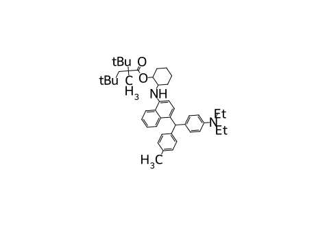 CCN(CC)c1ccc(C(c2ccc(C)cc2)c2ccc(NC3CCCCC3OC(=O)C(C)(CC(C)(C)C)C(C)(C)C)c3ccccc23)cc1